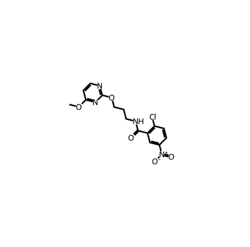 COc1ccnc(OCCCNC(=O)c2cc([N+](=O)[O-])ccc2Cl)n1